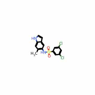 Cc1cc2[nH]ccc2cc1NS(=O)(=O)c1cc(Cl)cc(Cl)c1